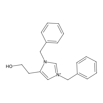 OCCc1c[n+](Cc2ccccc2)cn1Cc1ccccc1